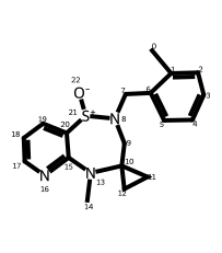 Cc1ccccc1CN1CC2(CC2)N(C)c2ncccc2[S+]1[O-]